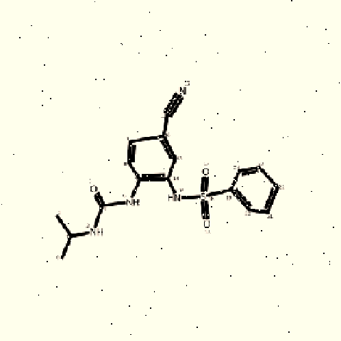 CC(C)NC(=O)Nc1ccc(C#N)cc1NS(=O)(=O)c1ccccc1